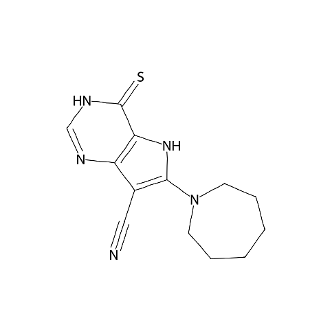 N#Cc1c(N2CCCCCC2)[nH]c2c(=S)[nH]cnc12